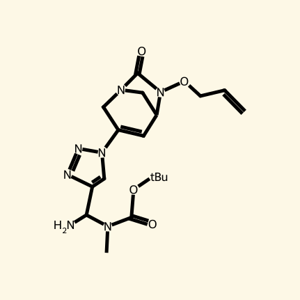 C=CCON1C(=O)N2CC(n3cc(C(N)N(C)C(=O)OC(C)(C)C)nn3)=CC1C2